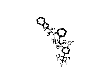 COc1ccc(C(Cl)(Cl)C(F)(F)F)cc1S(=O)(=O)Nc1ccccc1NS(=O)(=O)c1cc2ccccc2s1